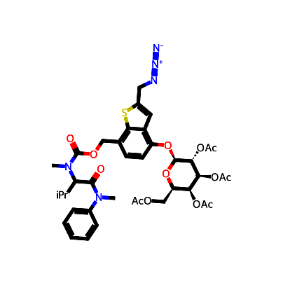 CC(=O)OC[C@H]1O[C@@H](Oc2ccc(COC(=O)N(C)C(C(=O)N(C)c3ccccc3)C(C)C)c3sc(CN=[N+]=[N-])cc23)[C@H](OC(C)=O)[C@@H](OC(C)=O)[C@H]1OC(C)=O